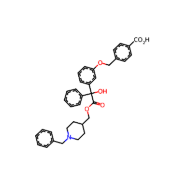 O=C(O)c1ccc(COc2cccc(C(O)(C(=O)OCC3CCN(Cc4ccccc4)CC3)c3ccccc3)c2)cc1